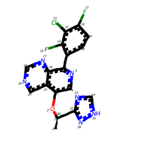 C[C@@H](Oc1cnc(-c2ccc(F)c(Cl)c2F)c2ncncc12)c1nc[nH]n1